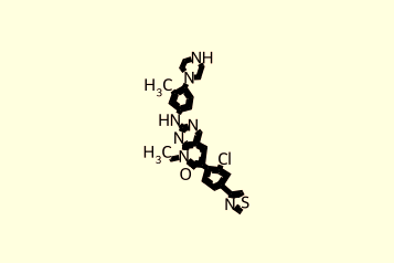 CCn1c(=O)c(-c2ccc(-c3cscn3)cc2Cl)cc2cnc(Nc3ccc(N4CCNCC4)c(C)c3)nc21